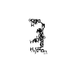 CC1(C)CCC(CN2CCN(c3ccc(C(=O)NS(=O)(=O)c4ccc(NCC5CCN(CC#Cc6ccc7c(c6)C(=O)N(C6CCC(=O)NC6=O)C7)CC5)c([N+](=O)[O-])c4)c(Oc4cnc5[nH]ccc5c4)c3)CC2)=C(c2ccc(Cl)cc2)C1